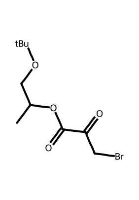 CC(COC(C)(C)C)OC(=O)C(=O)CBr